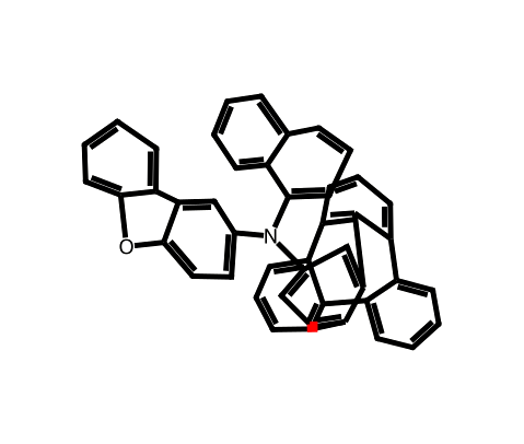 c1ccc2c(c1)-c1cccc3c1-c1cc(N(c4ccc5oc6ccccc6c5c4)c4cccc5ccccc45)ccc1-c1cccc-3c1-2